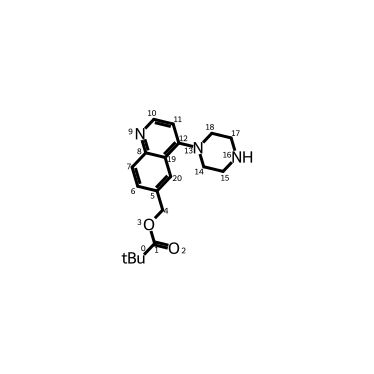 CC(C)(C)C(=O)OCc1ccc2nccc(N3CCNCC3)c2c1